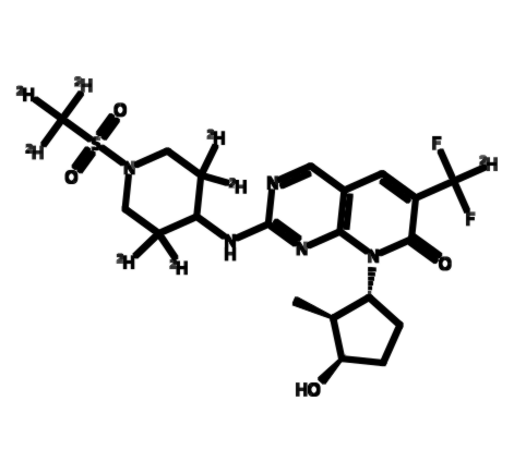 [2H]C(F)(F)c1cc2cnc(NC3C([2H])([2H])CN(S(=O)(=O)C([2H])([2H])[2H])CC3([2H])[2H])nc2n([C@@H]2CC[C@@H](O)[C@H]2C)c1=O